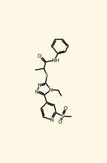 CCn1c(SC(C)C(=O)Nc2ccccc2)nnc1-c1ccnc(S(C)(=O)=O)c1